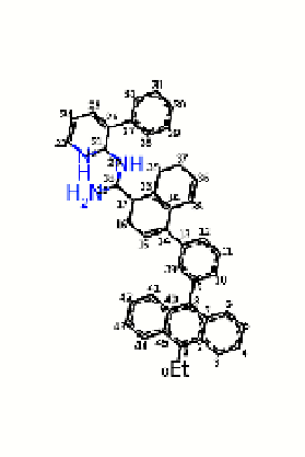 CCc1c2ccccc2c(-c2cccc(C3=CCC(C(N)NC4NC=CC=C4c4ccccc4)C4=C3C=CCC4)c2)c2ccccc12